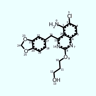 Nc1c(Cl)ccc2nc(OCCCO)nc(Cc3ccc4c(c3)OCO4)c12